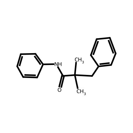 CC(C)(Cc1ccccc1)C(=O)Nc1ccccc1